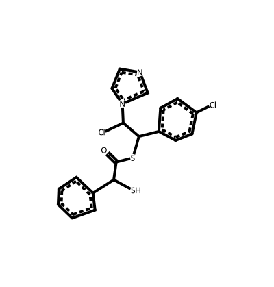 O=C(SC(c1ccc(Cl)cc1)C(Cl)n1ccnc1)C(S)c1ccccc1